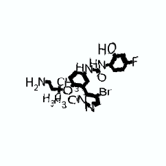 Cn1ncc(Br)c1-c1cc(NC(=O)Nc2ccc(F)cc2O)ccc1OC(C)(C)CCN